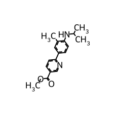 COC(=O)c1ccc(-c2ccc(NC(C)C)c(C)c2)nc1